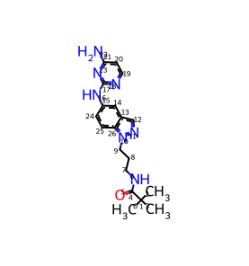 CC(C)(C)C(=O)NCCCn1ncc2cc(Nc3nccc(N)n3)ccc21